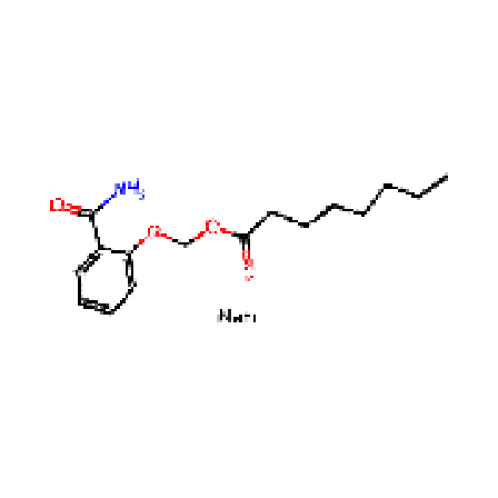 CCCCCCCC(=O)OCOc1ccccc1C(N)=O.[NaH]